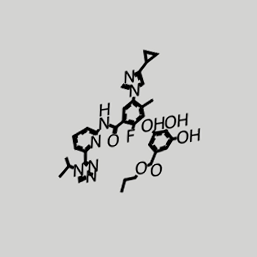 CCCOC(=O)c1cc(O)c(O)c(O)c1.Cc1cc(F)c(C(=O)Nc2cccc(-c3nncn3C(C)C)n2)cc1-n1cnc(C2CC2)c1